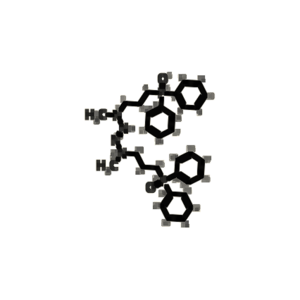 CN(CCCP(=O)(c1ccccc1)c1ccccc1)/N=N/N(C)CCCP(=O)(c1ccccc1)c1ccccc1